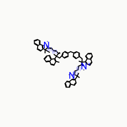 C=C(/C=C/C=C1/N(C)c2c(ccc3ccccc23)C1(C)C)C(C)(Cc1ccc(Cc2ccc(CC3(C)C(/C=C/C=C4/N(C)c5c(ccc6ccccc56)C4(C)C)=[N+](C)c4ccc5ccccc5c43)cc2)cc1)c1c(C)ccc2ccccc12